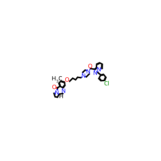 Cc1cc2c(cc1OCCCCCN1CCN(C(=O)c3nc(-c4ccc(Cl)cc4)n4ccccc34)CC1)N=C[C@@H]1CCCN1C2=O